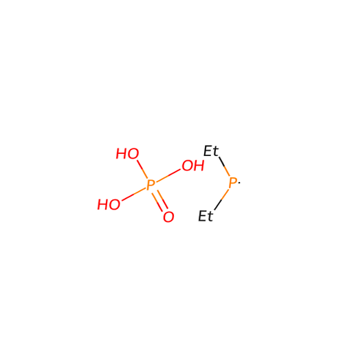 CC[P]CC.O=P(O)(O)O